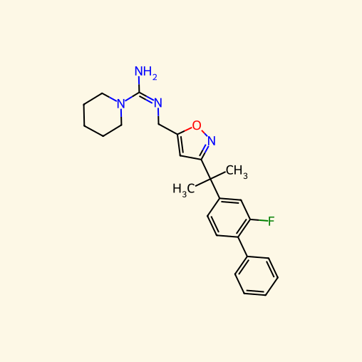 CC(C)(c1ccc(-c2ccccc2)c(F)c1)c1cc(CN=C(N)N2CCCCC2)on1